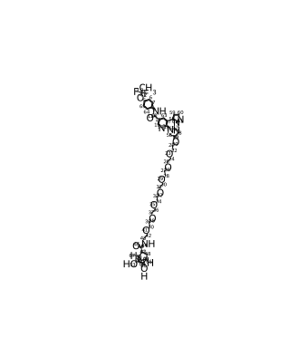 CC(F)(F)Oc1ccc(NC(=O)c2cnc(N3CC[C@@H](OCCOCCOCCOCCOCCOCCOCCOCCNC(=O)[C@H]4C[C@@H]5C[C@H]4[C@@H](O)[C@H]5O)C3)c(-c3ccn[nH]3)c2)cc1